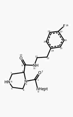 CCCCCCCC(=O)N1CCNCC1C(=O)NCCc1ccc(F)cc1